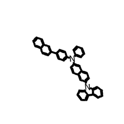 c1ccc(N(c2ccc(-c3ccc4ccccc4c3)cc2)c2ccc3cc(-n4c5ccccc5c5ccccc54)ccc3c2)cc1